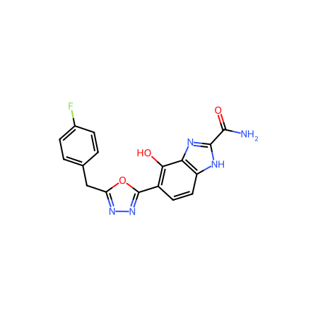 NC(=O)c1nc2c(O)c(-c3nnc(Cc4ccc(F)cc4)o3)ccc2[nH]1